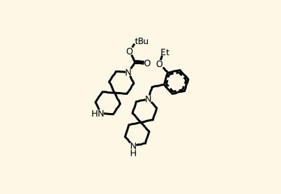 CC(C)(C)OC(=O)N1CCC2(CCNCC2)CC1.CCOc1ccccc1CN1CCC2(CCNCC2)CC1